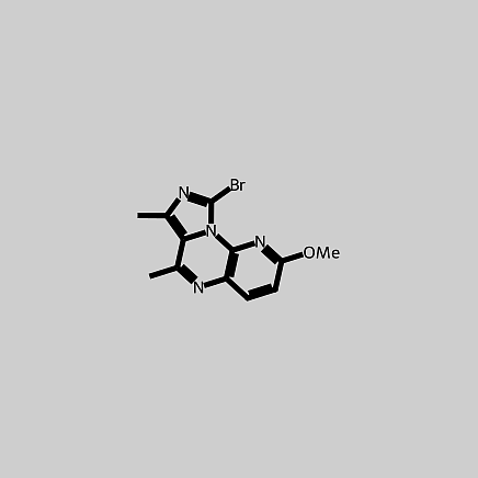 COc1ccc2nc(C)c3c(C)nc(Br)n3c2n1